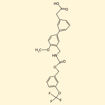 COc1ccc(-c2cccc(CC(=O)O)c2)cc1CNC(=O)OCc1cccc(OC(F)(F)F)c1